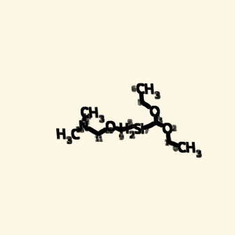 CCOC(OCC)[SiH2]CCOCN(C)C